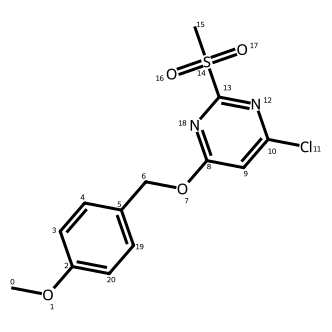 COc1ccc(COc2cc(Cl)nc(S(C)(=O)=O)n2)cc1